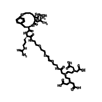 CC(C)C[C@H]1C(=O)NC(C(=O)N[C@@H](CCCNC(=N)N)C(=O)NCCOCCOCCOCCNC(=O)CN(CCN(CC(=O)O)CC(=O)O)CCN(CC(=O)O)CC(=O)O)Cc2ccc(cc2)OCCC[C@@H]1C(=O)NO